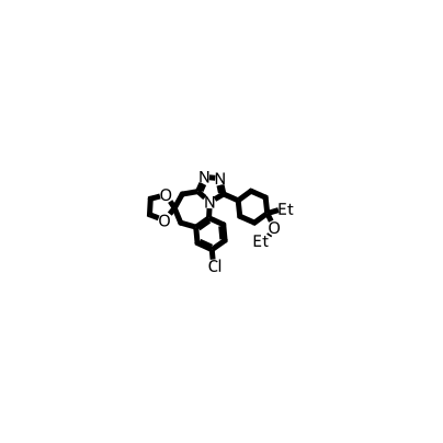 CCOC1(CC)CCC(c2nnc3n2-c2ccc(Cl)cc2CC2(C3)OCCO2)CC1